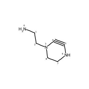 NCCN1C#CNCC1